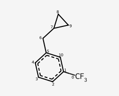 FC(F)(F)c1cccc(CC2CC2)c1